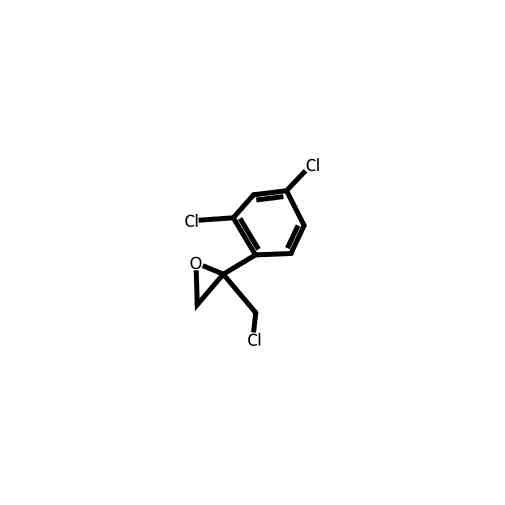 ClCC1(c2ccc(Cl)cc2Cl)CO1